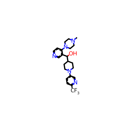 CN1CCN(c2ccncc2C(O)C2CCN(c3ccc(C(F)(F)F)nc3)CC2)CC1